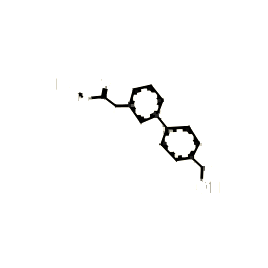 COC(=O)Cc1cccc(-c2ccc(CO)cc2)c1